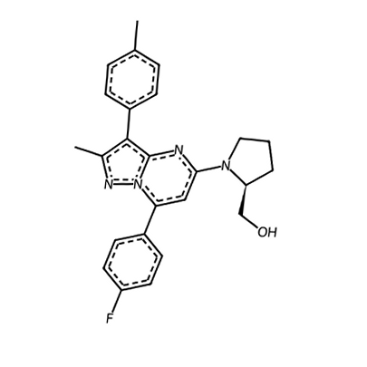 Cc1ccc(-c2c(C)nn3c(-c4ccc(F)cc4)cc(N4CCC[C@H]4CO)nc23)cc1